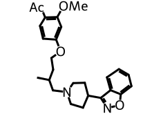 COc1cc(OCCC(C)CN2CCC(c3noc4ccccc34)CC2)ccc1C(C)=O